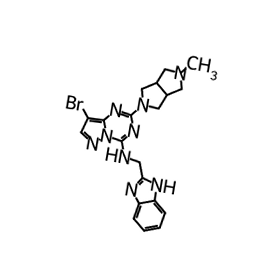 CN1CC2CN(c3nc(NCc4nc5ccccc5[nH]4)n4ncc(Br)c4n3)CC2C1